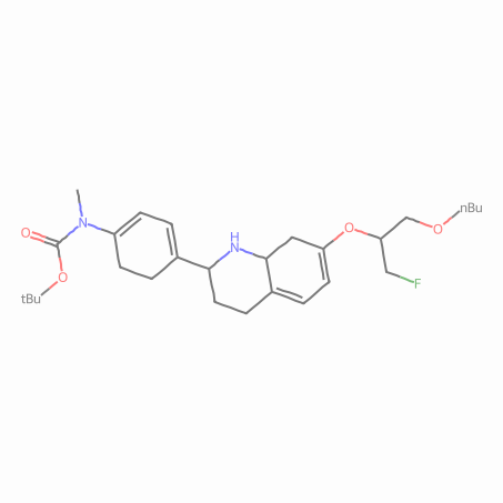 CCCCOCC(CF)OC1=CC=C2CCC(C3=CC=C(N(C)C(=O)OC(C)(C)C)CC3)NC2C1